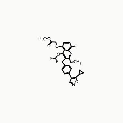 CCc1nc2c(F)ccc(OCC(=O)OC)c2c(OC(F)F)c1Cc1ccc(-c2cnoc2C2CC2)cc1